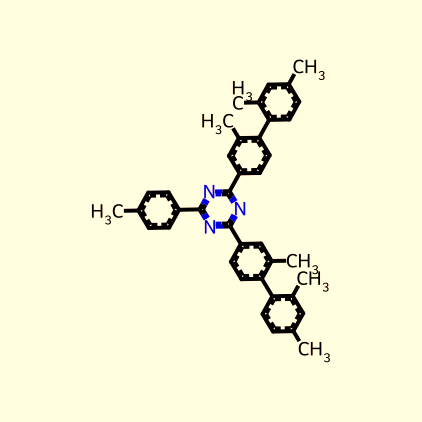 Cc1ccc(-c2nc(-c3ccc(-c4ccc(C)cc4C)c(C)c3)nc(-c3ccc(-c4ccc(C)cc4C)c(C)c3)n2)cc1